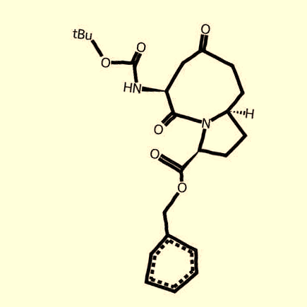 CC(C)(C)OC(=O)N[C@H]1CC(=O)CC[C@H]2CC[C@@H](C(=O)OCc3ccccc3)N2C1=O